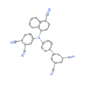 N#Cc1cc(C#N)cc(-c2ccc(N(c3ccc(C#N)c(C#N)c3)c3ccc(C#N)c4ccccc34)cc2)c1